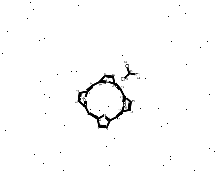 C1=CC2=NC1=CC1=NC(=CC3=NC(=CC4=NC(=C2)C=C4)C=C3)C=C1.ClC(Cl)Cl